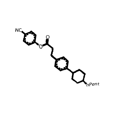 CCCCCC1CCC(c2ccc(CCC(=O)Oc3ccc(C#N)cc3)cc2)CC1